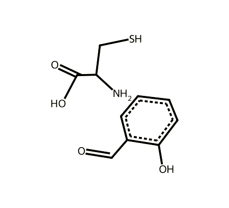 NC(CS)C(=O)O.O=Cc1ccccc1O